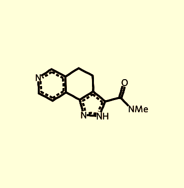 CNC(=O)c1[nH]nc2c1CCc1cnccc1-2